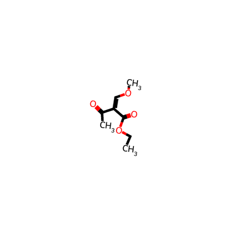 CCOC(=O)/C(=C\OC)C(C)=O